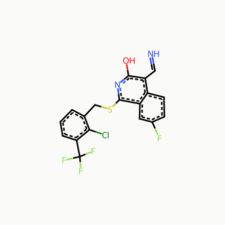 N=Cc1c(O)nc(SCc2cccc(C(F)(F)F)c2Cl)c2cc(F)ccc12